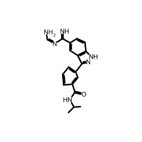 CC(C)NC(=O)c1cccc(-c2n[nH]c3ccc(C(=N)/N=C\N)cc23)c1